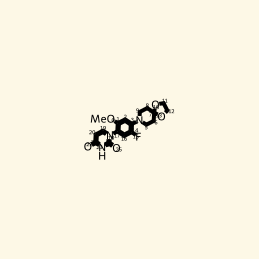 COc1cc(N2CCC3(CC2)OCCO3)c(F)cc1-n1ccc(=O)[nH]c1=O